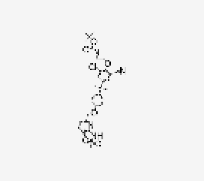 CC(C)(C)OC(=O)N1CC(Oc2c(Cl)cc(C(C)(C)c3ccc(OCc4ccnc(NS(C)(=O)=O)n4)cc3)cc2C#N)C1